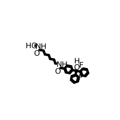 O=C(CCCCCCNC(=O)c1ccc(C(O)(c2ccccc2F)c2ccccc2F)cc1)NO